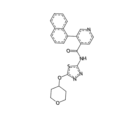 O=C(Nc1nnc(OC2CCOCC2)s1)c1ccncc1-c1cccc2ccccc12